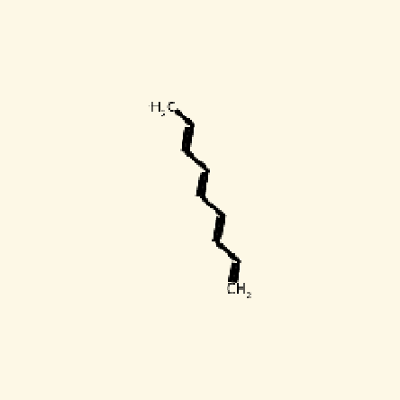 [CH2]/C=C/C=C/C=C/C=C